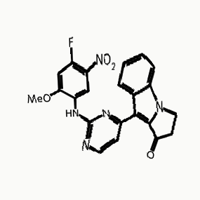 COc1cc(F)c([N+](=O)[O-])cc1Nc1nccc(-c2c3n(c4ccccc24)CCC3=O)n1